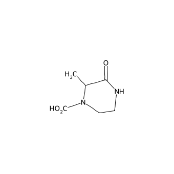 CC1C(=O)NCCN1C(=O)O